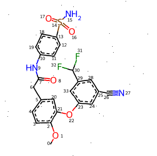 COc1ccc(CC(=O)Nc2ccc(S(N)(=O)=O)cc2)cc1Oc1cc(C#N)cc(C(F)F)c1